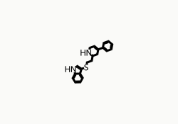 C1=C(c2ccccc2)CC(CCSc2c[nH]c3ccccc23)NC1